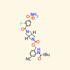 CC(C)(C)C(=O)Nc1cc(C#N)ccc1COC(=O)N1C[C@@H]2CN(C(=O)c3ccc(S(N)(=O)=O)cc3F)C[C@H]2C1